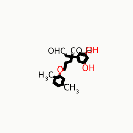 Cc1ccc(C)c(OCCCC(CC=O)(C(=O)O)c2cc(O)cc(O)c2)c1